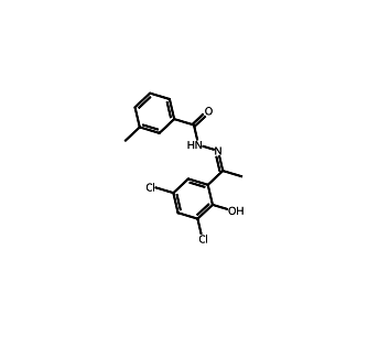 CC(=NNC(=O)c1cccc(C)c1)c1cc(Cl)cc(Cl)c1O